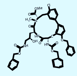 COC(=O)[C@@H]1Cc2cc(ccc2Cl)-c2ccc(OCc3ccccc3)c(c2)C[C@H](NC(=O)OCc2ccccc2)C(=O)N[C@@H](C[C@@H](O)CNC(=O)OCc2ccccc2)C(=O)N1C